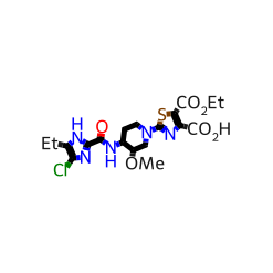 CCOC(=O)c1sc(N2CCC(NC(=O)c3nc(Cl)c(CC)[nH]3)C(OC)C2)nc1C(=O)O